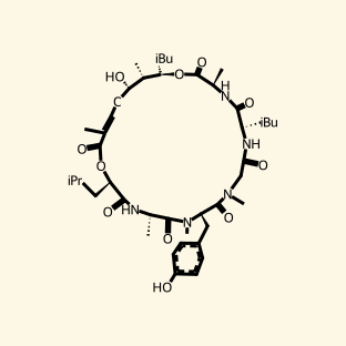 CCC(C)[C@@H]1NC(=O)CN(C)C(=O)[C@@H](Cc2ccc(O)cc2)N(C)C(=O)[C@H](C)NC(=O)[C@@H](CC(C)C)OC(=O)/C(C)=C/C[C@H](O)[C@H](C)[C@@H]([C@@H](C)CC)OC(=O)[C@@H](C)NC1=O